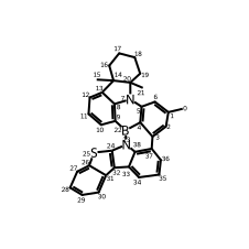 Cc1cc2c3c(c1)N1c4c(cccc4C4(C)CCCCC14C)B3n1c3sc4ccccc4c3c3cccc-2c31